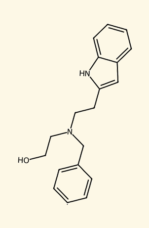 OCCN(CCc1cc2ccccc2[nH]1)Cc1cc[c]cc1